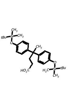 CC(CCC(=O)O)(c1ccc(O[Si](C)(C)C(C)(C)C)cc1)c1ccc(O[Si](C)(C)C(C)(C)C)cc1